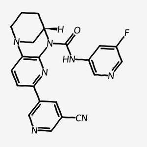 N#Cc1cncc(-c2ccc3c(n2)N(C(=O)Nc2cncc(F)c2)[C@H]2CCCN3C2)c1